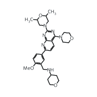 COc1ccc(-c2ccc3c(N4CCOCC4)nc(N4CC(C)OC(C)C4)nc3n2)cc1CNC1CCOCC1